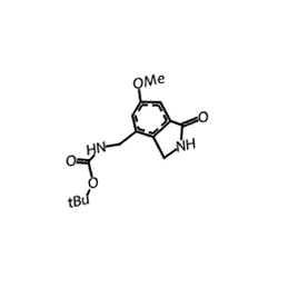 COc1cc(CNC(=O)OC(C)(C)C)c2c(c1)C(=O)NC2